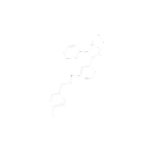 O=C(NCc1ccc(C(F)(F)F)cc1)c1cccc(-c2nn3c(c2-c2ccncc2)SCC3)c1